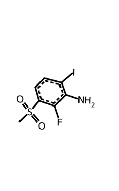 CS(=O)(=O)c1ccc(I)c(N)c1F